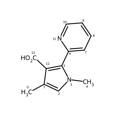 Cc1cn(C)c(-c2ccccn2)c1C(=O)O